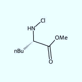 CCCC[C@H](NCl)C(=O)OC